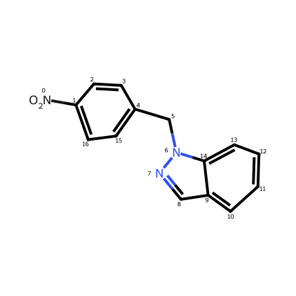 O=[N+]([O-])c1ccc(Cn2ncc3ccccc32)cc1